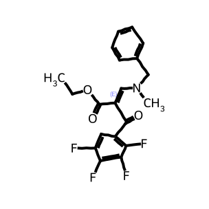 CCOC(=O)/C(=C/N(C)Cc1ccccc1)C(=O)c1cc(F)c(F)c(F)c1F